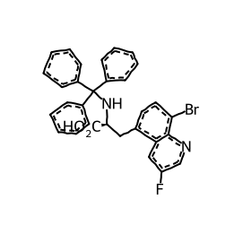 O=C(O)[C@H](Cc1ccc(Br)c2ncc(F)cc12)NC(c1ccccc1)(c1ccccc1)c1ccccc1